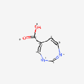 O=C(O)C1=CNC=NC=C1